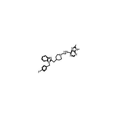 Cc1nc2c(NCCN3CCC(Cc4nc5ccccc5n4Cc4ccc(F)cc4)CC3)ncnc2n1C